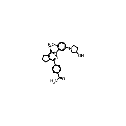 NC(=O)c1ccc(-c2nn(-c3cc(N4CCC(O)C4)ccc3C(F)(F)F)c(=O)c3c2CCC3)cc1